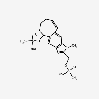 Cn1c(CO[Si](C)(C)C(C)(C)C)cc2cc3c(cc21)C=CCCCC3O[Si](C)(C)C(C)(C)C